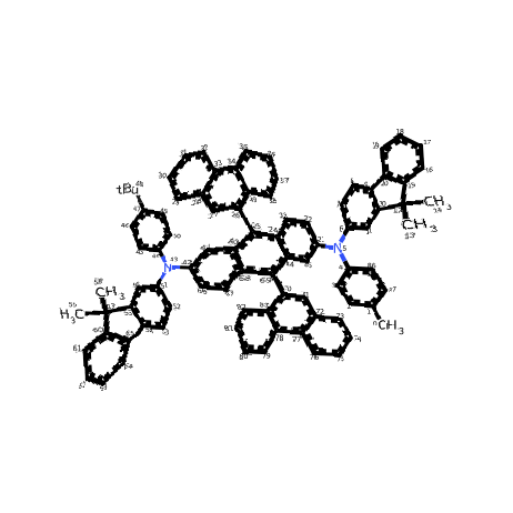 Cc1ccc(N(c2ccc3c(c2)C(C)(C)c2ccccc2-3)c2ccc3c(-c4cc5ccccc5c5ccccc45)c4cc(N(c5ccc(C(C)(C)C)cc5)c5ccc6c(c5)C(C)(C)c5ccccc5-6)ccc4c(-c4cc5ccccc5c5ccccc45)c3c2)cc1